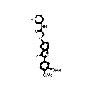 COc1ccc(-c2[nH]c3ccc(OCC(=O)N[C@@H]4CCCNC4)cc3c2C(C)C)cc1OC